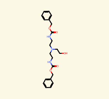 O=C(NCCN(CCO)CCNC(=O)OCc1ccccc1)OCc1ccccc1